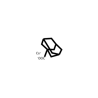 O=C([O-])C12CC3CC(CC(C3)C1)C2.[Cs+]